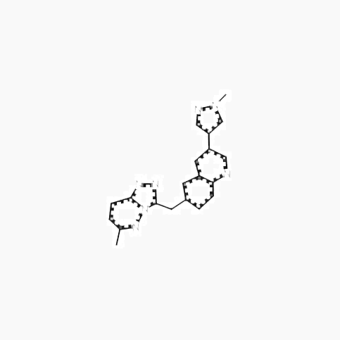 Cc1ccc2nnc(Cc3ccc4ncc(-c5cnn(C)c5)cc4c3)n2n1